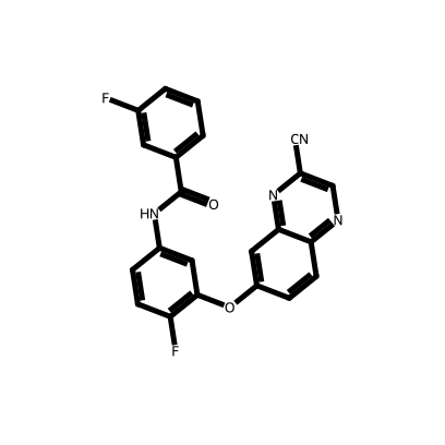 N#Cc1cnc2ccc(Oc3cc(NC(=O)c4cccc(F)c4)ccc3F)cc2n1